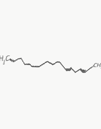 CC=CCC=CCCCCCCCCC